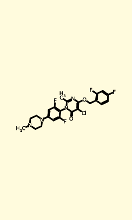 Cc1nc(OCc2ccc(F)cc2F)c(Cl)c(=O)n1-c1c(F)cc(N2CCN(C)CC2)cc1F